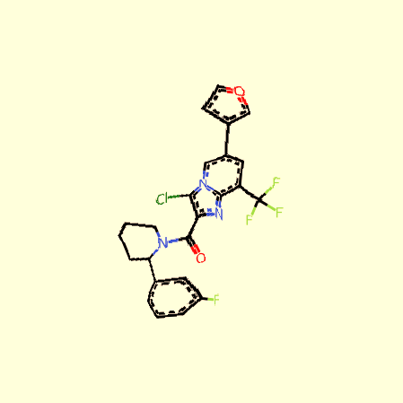 O=C(c1nc2c(C(F)(F)F)cc(-c3ccoc3)cn2c1Cl)N1CCCCC1c1cccc(F)c1